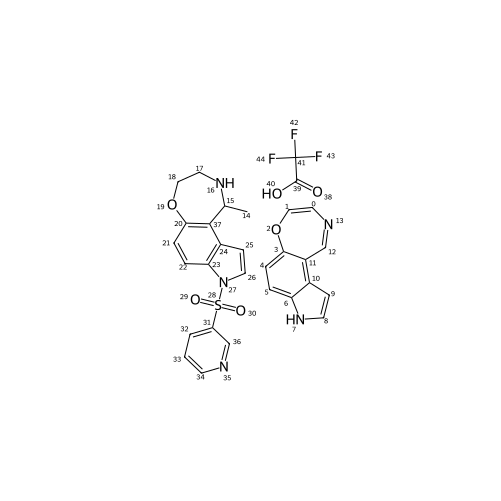 C1=COc2ccc3[nH]ccc3c2C=N1.CC1NCCOc2ccc3c(ccn3S(=O)(=O)c3cccnc3)c21.O=C(O)C(F)(F)F